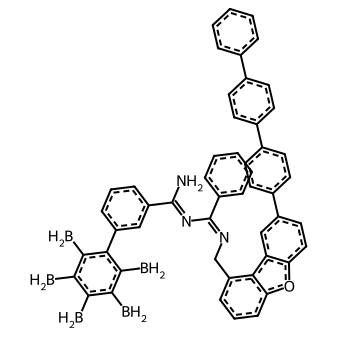 Bc1c(B)c(B)c(-c2cccc(/C(N)=N/C(=N\Cc3cccc4oc5ccc(-c6ccc(-c7ccc(-c8ccccc8)cc7)cc6)cc5c34)c3ccccc3)c2)c(B)c1B